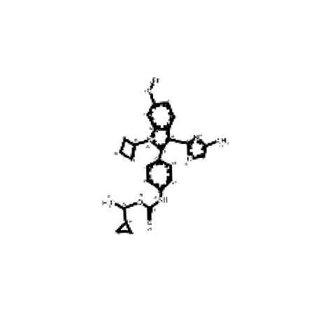 CCOc1ccc2c(-c3nc(C)co3)c(-c3ccc(NC(=O)OC(C)C4CC4)cc3)n(C3CCC3)c2c1